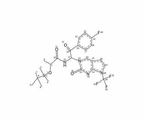 CC(O[Si](C)(C)C(C)(C)C)C(=O)NC(C(=O)c1ccc(F)cc1)n1cc2ccn(C(F)(F)F)c2nc1=O